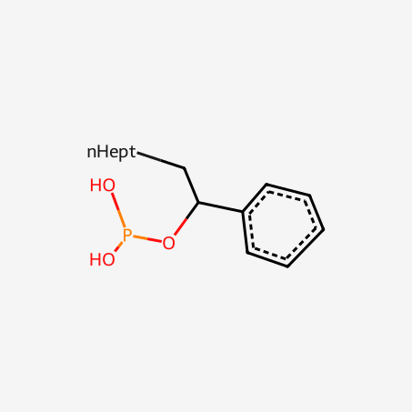 CCCCCCCCC(OP(O)O)c1ccccc1